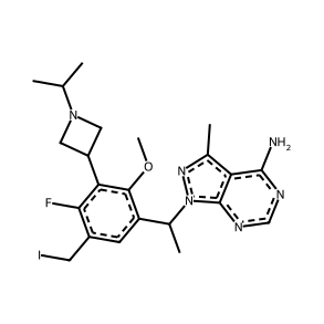 COc1c(C(C)n2nc(C)c3c(N)ncnc32)cc(CI)c(F)c1C1CN(C(C)C)C1